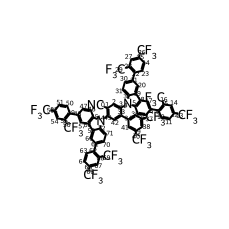 N#Cc1cc(-n2c3ccc(-c4ccc(C(F)(F)F)cc4C(F)(F)F)cc3c3cc(-c4ccc(C(F)(F)F)cc4C(F)(F)F)ccc32)c(-c2cc(C(F)(F)F)cc(C(F)(F)F)c2)cc1-n1c2ccc(-c3ccc(C(F)(F)F)cc3C(F)(F)F)cc2c2cc(-c3ccc(C(F)(F)F)cc3C(F)(F)F)ccc21